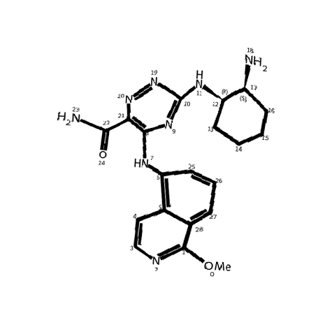 COc1nccc2c(Nc3nc(N[C@@H]4CCCC[C@@H]4N)nnc3C(N)=O)cccc12